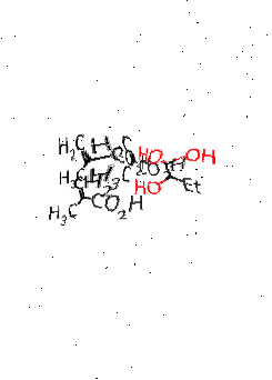 C=C(C)C(=O)O.C=C(C)C(=O)O.C=C(C)C(=O)O.CCC(O)C(O)O